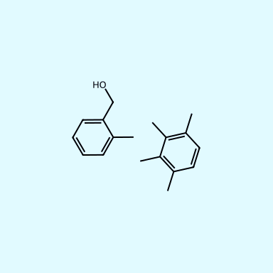 Cc1ccc(C)c(C)c1C.Cc1ccccc1CO